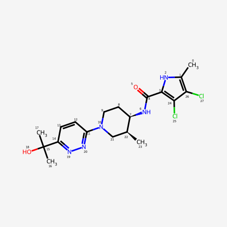 Cc1[nH]c(C(=O)N[C@@H]2CCN(c3ccc(C(C)(C)O)nn3)C[C@@H]2C)c(Cl)c1Cl